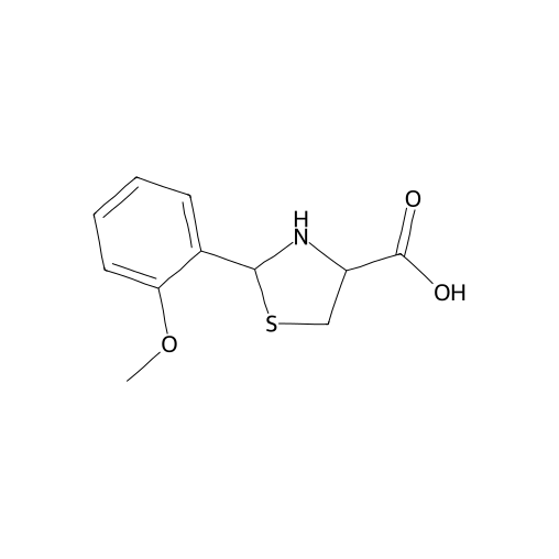 COc1ccccc1C1NC(C(=O)O)CS1